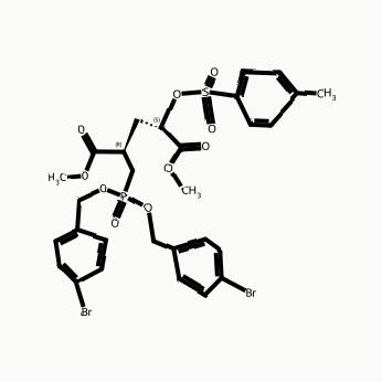 COC(=O)[C@@H](C[C@H](OS(=O)(=O)c1ccc(C)cc1)C(=O)OC)CP(=O)(OCc1ccc(Br)cc1)OCc1ccc(Br)cc1